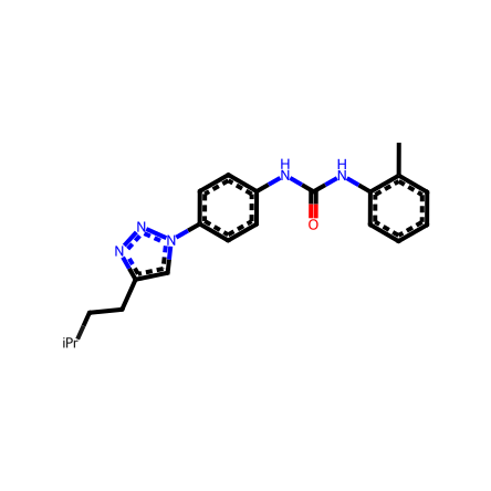 Cc1ccccc1NC(=O)Nc1ccc(-n2cc(CCC(C)C)nn2)cc1